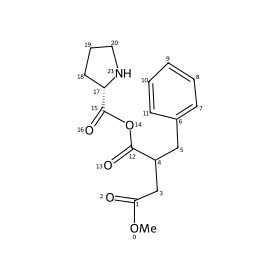 COC(=O)CC(Cc1ccccc1)C(=O)OC(=O)[C@@H]1CCCN1